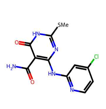 CSc1nc(Nc2cc(Cl)ccn2)c(C(N)=O)c(=O)[nH]1